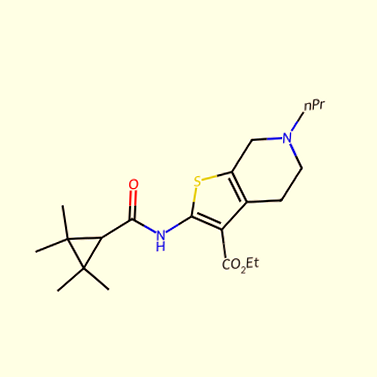 CCCN1CCc2c(sc(NC(=O)C3C(C)(C)C3(C)C)c2C(=O)OCC)C1